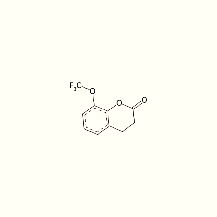 O=C1CCc2cccc(OC(F)(F)F)c2O1